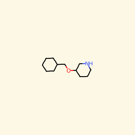 C1CCC(COC2CCCNC2)CC1